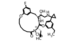 C#CC[C@H]1C(=O)N[C@H]([C@H](O)CNC2(c3cccc(CC)c3)CC2)Cc2cc(F)cc(c2)OCCCCCC(=O)N1C